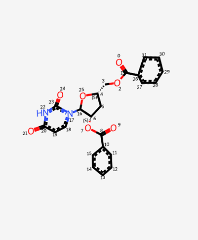 O=C(OC[C@@H]1C[C@H](OC(=O)c2ccccc2)C(n2ccc(=O)[nH]c2=O)O1)c1ccccc1